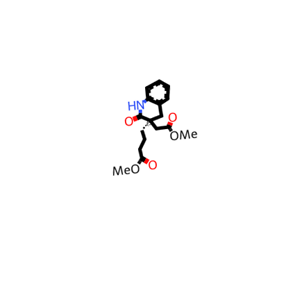 COC(=O)CCC[C@@]1(CC(=O)OC)Cc2ccccc2NC1=O